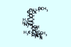 COCCCOc1cc(C[C@@H](C[C@H](N)[C@@H](O)C[C@H](C(=O)NCC(C)(C)C#N)C(C)C)C(C)C)ccc1OC